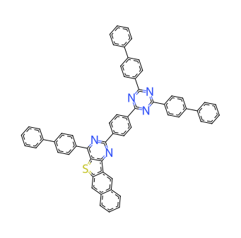 c1ccc(-c2ccc(-c3nc(-c4ccc(-c5ccccc5)cc4)nc(-c4ccc(-c5nc(-c6ccc(-c7ccccc7)cc6)c6sc7cc8ccccc8cc7c6n5)cc4)n3)cc2)cc1